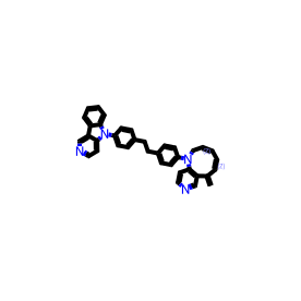 C=C1/C=C\C=C/CN(c2ccc(CCc3ccc(-n4c5ccccc5c5cnccc54)cc3)cc2)c2ccncc21